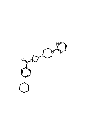 O=C(c1ccc(C2CCCCC2)cc1)N1CC(N2CCN(c3ncccn3)CC2)C1